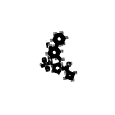 CS(=O)(=O)N[C@H]1CCN(C(=O)C2CCC2)[C@H]1Cc1ccc(F)c(-c2ccccc2)c1